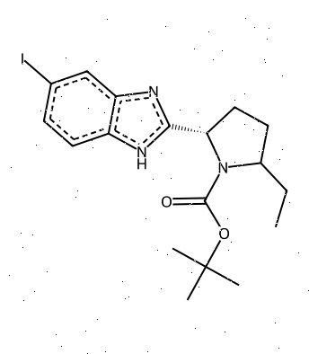 CCC1CC[C@@H](c2nc3cc(I)ccc3[nH]2)N1C(=O)OC(C)(C)C